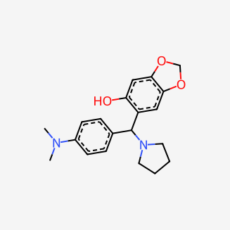 CN(C)c1ccc(C(c2cc3c(cc2O)OCO3)N2CCCC2)cc1